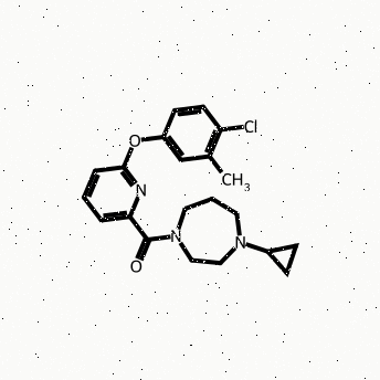 Cc1cc(Oc2cccc(C(=O)N3CCCN(C4CC4)CC3)n2)ccc1Cl